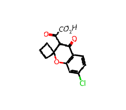 O=C(O)C(=O)C1C(=O)c2ccc(Cl)cc2OC12CCC2